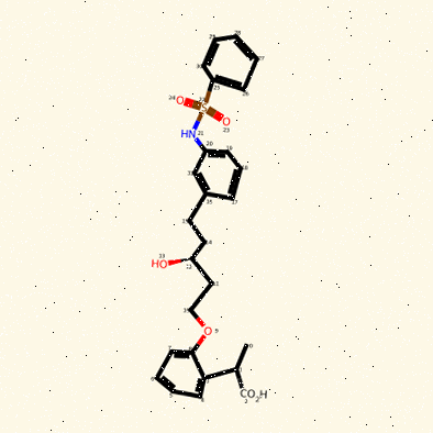 CC(C(=O)O)c1ccccc1OCC[C@@H](O)CCc1cccc(NS(=O)(=O)c2ccccc2)c1